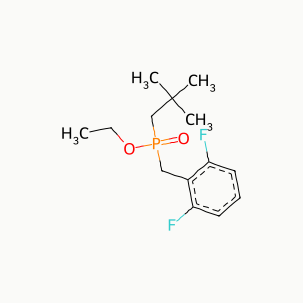 CCOP(=O)(Cc1c(F)cccc1F)CC(C)(C)C